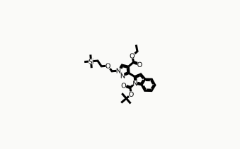 CCOC(=O)c1cn(COCC[Si](C)(C)C)nc1-c1cc2ccccc2n1C(=O)OC(C)(C)C